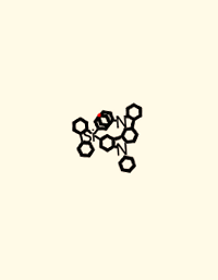 c1ccc(-n2c3ccc([Si]4(c5ccccc5)c5ccccc5-c5ccccc54)cc3c3c2ccc2c4ccccc4n(-c4ccccc4)c23)cc1